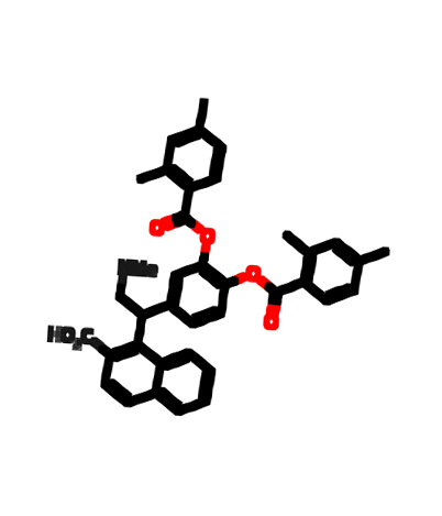 CNCC(c1ccc(OC(=O)c2ccc(C)cc2C)c(OC(=O)c2ccc(C)cc2C)c1)c1c(C(=O)O)ccc2ccccc12